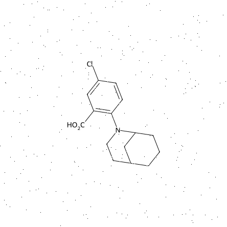 O=C(O)c1cc(Cl)ccc1N1CCC2CCCC1C2